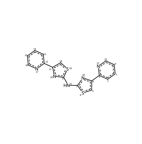 c1ccc(-c2csc(Nc3nc(-c4ccccn4)cs3)n2)nc1